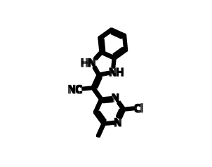 Cc1cc(C(C#N)=C2Nc3ccccc3N2)nc(Cl)n1